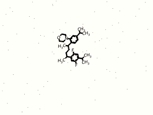 CC(C)c1ccc(C(C)CCC(C)c2cc(F)c(C(C)C)cc2F)c(N2CCOCC2)c1